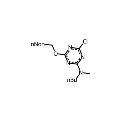 CCCCCCCCCCOc1nc(Cl)nc(N(C)CCCC)n1